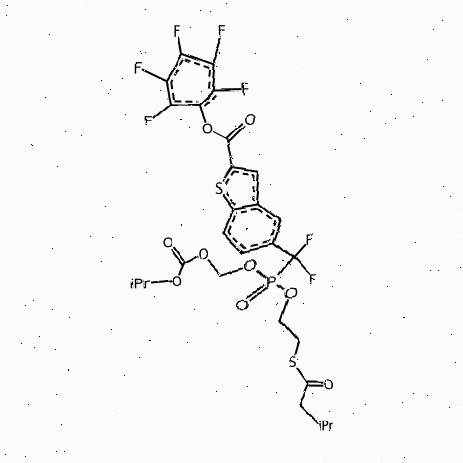 CC(C)CC(=O)SCCOP(=O)(OCOC(=O)OC(C)C)C(F)(F)c1ccc2sc(C(=O)Oc3c(F)c(F)c(F)c(F)c3F)cc2c1